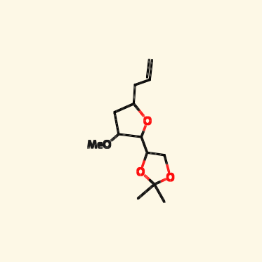 C=CCC1CC(OC)C(C2COC(C)(C)O2)O1